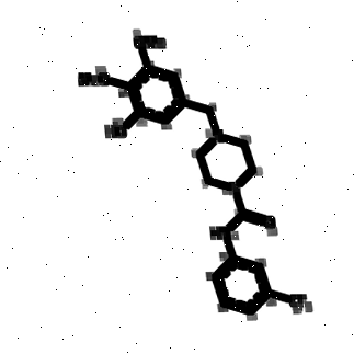 COc1cc(CN2CCN(C(=O)Nc3cccc(C(F)(F)F)c3)CC2)cc(O)c1OC